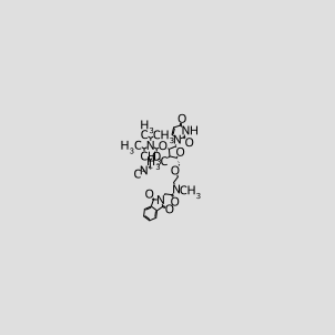 [C-]#[N+]CCOC(O[C@H]1C(C)[C@@H](COCCN(C)C(=O)CN2C(=O)c3ccccc3C2=O)O[C@H]1n1ccc(=O)[nH]c1=O)N(C(C)C)C(C)C